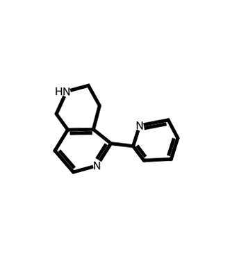 c1ccc(-c2nccc3c2CCNC3)nc1